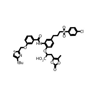 Cc1oc(=O)oc1CC(Oc1ccc(CCCS(=O)(=O)c2ccc(Cl)cc2)cc1NC(=O)c1cccc(OCc2nc(C(C)(C)C)cs2)c1)C(=O)O